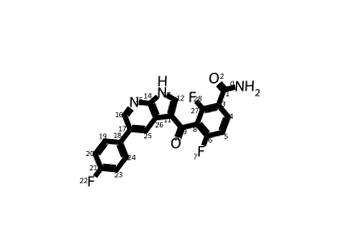 NC(=O)c1ccc(F)c(C(=O)c2c[nH]c3ncc(-c4ccc(F)cc4)cc23)c1F